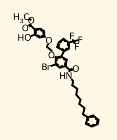 COC(=O)c1ccc(OCCOc2c(Br)cc(C(=O)NCCCCCCCCc3ccccc3)cc2-c2cccc(C(F)(F)F)c2)cc1O